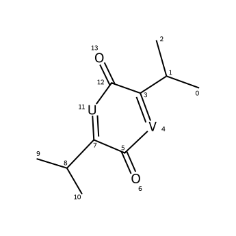 CC(C)[C]1=[V][C](=O)[C](C(C)C)=[U][C]1=O